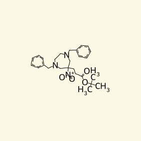 CC(C)(C)OC(=O)CCC1([N+](=O)[O-])CN(Cc2ccccc2)CCN(Cc2ccccc2)C1